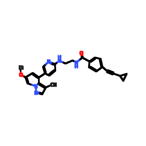 CCOc1cc(-c2ccc(NCCNC(=O)c3ccc(C#CC4CC4)cc3)nc2)c2c(C#N)cnn2c1